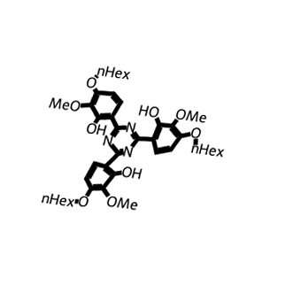 CCCCCCOc1ccc(-c2nc(-c3ccc(OCCCCCC)c(OC)c3O)nc(-c3ccc(OCCCCCC)c(OC)c3O)n2)c(O)c1OC